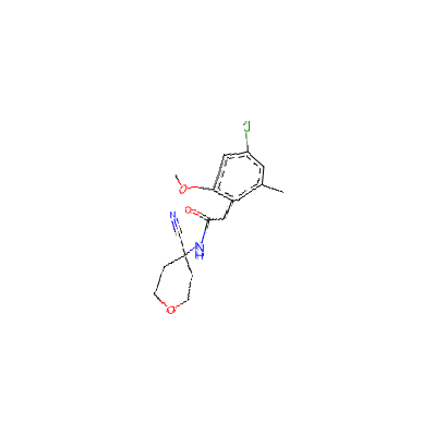 COc1cc(Cl)cc(C)c1CC(=O)NC1(C#N)CCOCC1